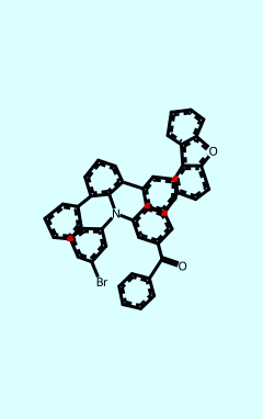 O=C(c1ccccc1)c1cc(-c2ccc3oc4ccccc4c3c2)cc(N(c2cccc(Br)c2)c2c(-c3ccccc3)cccc2-c2ccccc2)c1